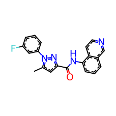 Cc1cc(C(=O)Nc2cccc3cnccc23)nn1-c1cccc(F)c1